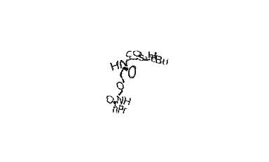 CCCC(=O)NCCOCCC(=O)N[C@H](CSCC(C)(C)C)C(=O)O